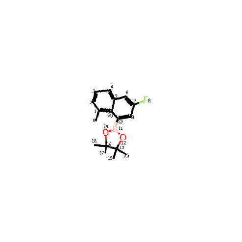 Cc1cccc2cc(F)cc(B3OC(C)(C)C(C)(C)O3)c12